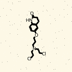 O=C1CCc2cc(OCCCN(CCCl)CCCl)ccc2N1